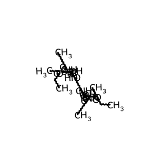 CCCCCC/C=C\CCCC(=O)O[C@H](CCCCCCC)CCOCC(COP(=O)(O)OCCNC(=O)CCCCCCCCC(=O)NCCOP(=O)(O)OCC(COCC[C@@H](CCCCCCC)OC(=O)CCC/C=C\CCCCCC)NC(=O)CC(=O)CCCCCCCCCCC)NC(=O)CC(=O)CCCCCCCCCCC